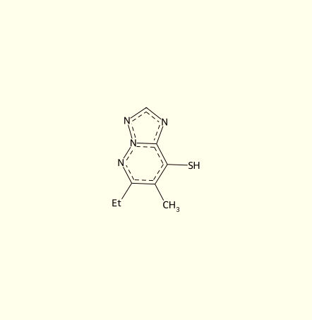 CCc1nn2ncnc2c(S)c1C